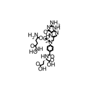 C[SH](C)(=O)N(Cc1cnc2[nH]c(N)nc(=O)c2n1)c1ccc(C(=O)N[C@@H](CCC(=O)O)C(=O)O)cc1.NC(=O)CCC(=O)NO